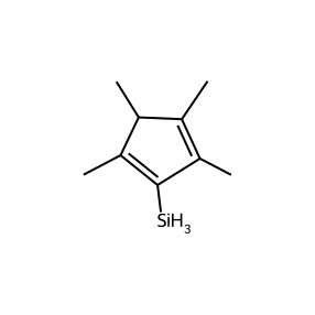 CC1=C(C)C(C)C(C)=C1[SiH3]